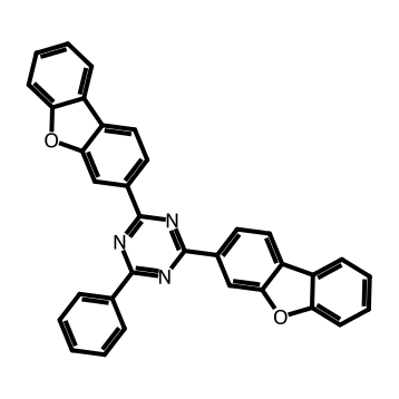 c1ccc(-c2nc(-c3ccc4c(c3)oc3ccccc34)nc(-c3ccc4c(c3)oc3ccccc34)n2)cc1